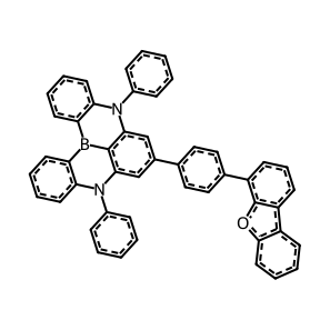 c1ccc(N2c3ccccc3B3c4ccccc4N(c4ccccc4)c4cc(-c5ccc(-c6cccc7c6oc6ccccc67)cc5)cc2c43)cc1